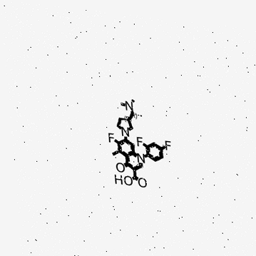 Cc1c(F)c(N2CC[C@@H]([C@@H](C)N(C)C)C2)cc2c1c(=O)c(C(=O)O)cn2-c1ccc(F)cc1F